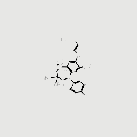 CCCCC1(CCCC)CN(c2ccc(O)cc2)c2cc(SC)c(O/C=C/C(=O)O)cc2S(=O)(=O)C1